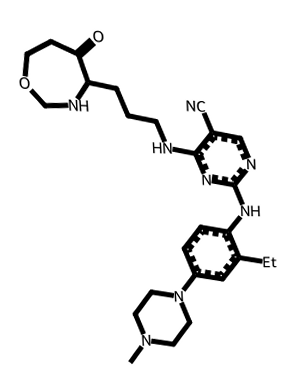 CCc1cc(N2CCN(C)CC2)ccc1Nc1ncc(C#N)c(NCCCC2NCOCCC2=O)n1